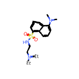 CCN(CC)CCNS(=O)(=O)c1cccc2c(N(C)C)cccc12